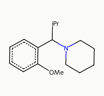 COc1ccccc1C(C(C)C)N1CCCCC1